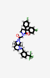 O=C(CN1CCC(c2ccc(F)cc2)(c2ccc(F)cc2)C1=O)N1C[C@@H]2CCCN(Cc3cccc(C(F)(F)F)c3)[C@@H]2C1